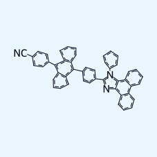 N#Cc1ccc(-c2c3ccccc3c(-c3ccc(-c4nc5c6ccccc6c6ccccc6c5n4-c4ccccc4)cc3)c3ccccc23)cc1